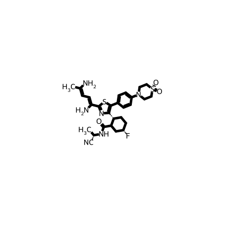 C/C(N)=C/C=C(\N)c1nc([C@@H]2CC[C@H](F)CC2C(=O)N[C@@H](C)C#N)c(-c2ccc(N3CCS(=O)(=O)CC3)cc2)s1